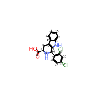 O=C(O)[C@H]1Cc2c([nH]c3ccccc23)[C@@H](c2ccc(Cl)cc2Cl)N1